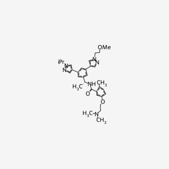 COCCn1cc(-c2cc(-c3cnn(C(C)C)c3)cc([C@@H](C)NC(=O)c3cc(OCCN(C)C)ccc3C)c2)cn1